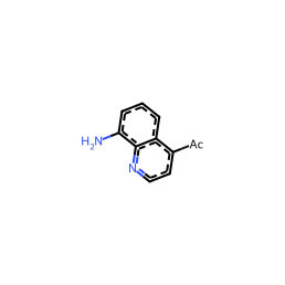 CC(=O)c1ccnc2c(N)cccc12